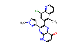 Cc1c(-c2nc3c(=O)cc[nH]c3nc2-c2ccn(C)n2)cc(Cl)c2ncccc12